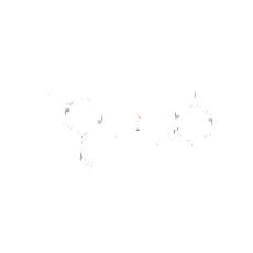 O=C(Nc1cccc(I)c1)Nc1ccc(Cl)cc1C(=O)O